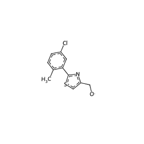 Cc1ccc(Cl)cc1-c1nc(C[O])cs1